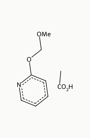 CC(=O)O.COCOc1ccccn1